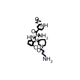 CP(C)(=O)C1=CC(C(=O)N(N)C2Nc3cccc(Cl)c3N2[C@@H]2CCCCN(C(=O)/C=C/CN)C2)=CCN1